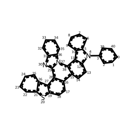 c1ccc(-n2c3ccccc3c3c2ccc2c4ccc5sc6ccccc6c5c4c4nc5ccccc5n4c23)cc1